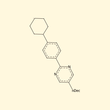 CCCCCCCCCCc1cnc(-c2ccc(C3CC[CH]CC3)cc2)nc1